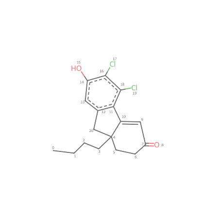 CCCCC12CCC(=O)C=C1c1c(cc(O)c(Cl)c1Cl)C2